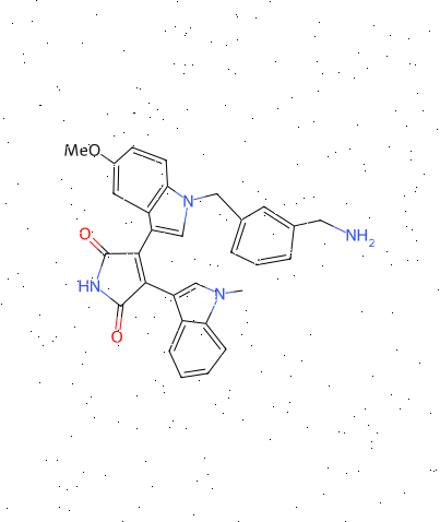 COc1ccc2c(c1)c(C1=C(c3cn(C)c4ccccc34)C(=O)NC1=O)cn2Cc1cccc(CN)c1